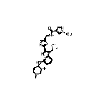 CN1CC[C@@H](Nc2cccc3c(CC(F)(F)F)c(-c4nnc(CNC(=O)c5cnn(C(C)(C)C)c5)s4)nn23)[C@@H](F)C1